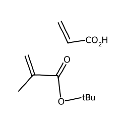 C=C(C)C(=O)OC(C)(C)C.C=CC(=O)O